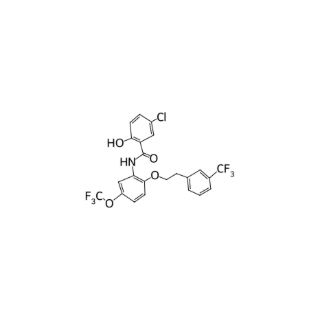 O=C(Nc1cc(OC(F)(F)F)ccc1OCCc1cccc(C(F)(F)F)c1)c1cc(Cl)ccc1O